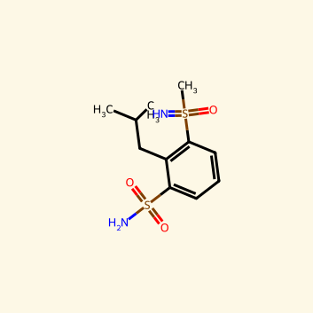 CC(C)Cc1c(S(C)(=N)=O)cccc1S(N)(=O)=O